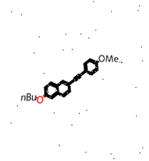 CCCCOc1ccc2cc(C#Cc3ccc(OC)cc3)ccc2c1